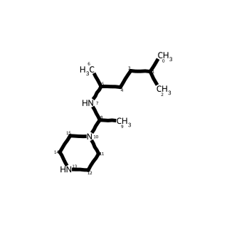 CC(C)CCC(C)NC(C)N1CCNCC1